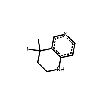 CC1(I)CCNc2ccncc21